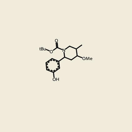 COC1CC(c2cccc(O)c2)N(C(=O)OC(C)(C)C)CC1C